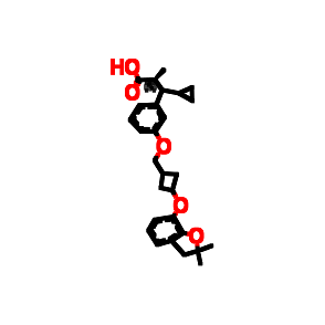 C[C@H](C(=O)O)C(c1cccc(OCC2CC(Oc3cccc4c3OC(C)(C)C4)C2)c1)C1CC1